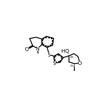 C[C@H]1C[C@@](O)(c2csc(Sc3cccc4c3N(C)C(=O)CC4)c2)CCO1